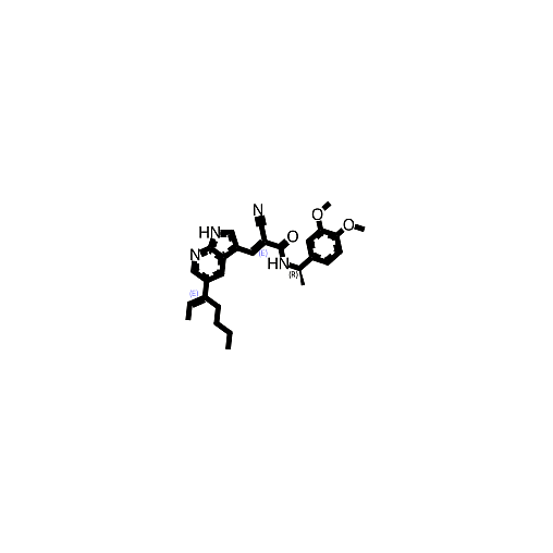 C/C=C(\CCCC)c1cnc2[nH]cc(/C=C(\C#N)C(=O)N[C@H](C)c3ccc(OC)c(OC)c3)c2c1